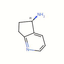 N[C@@H]1CCc2ncccc21